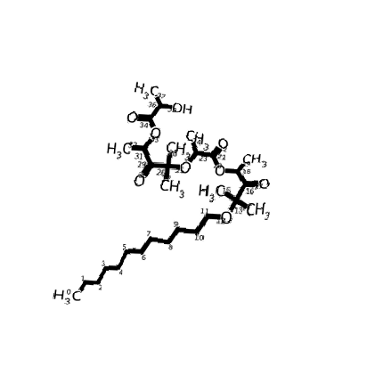 CCCCCCCCCCCCOC(C)(C)C(=O)C(C)OC(=O)C(C)OC(C)(C)C(=O)C(C)OC(=O)C(C)O